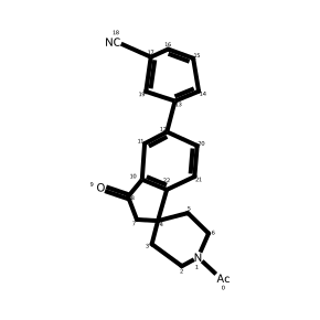 CC(=O)N1CCC2(CC1)CC(=O)c1cc(-c3cccc(C#N)c3)ccc12